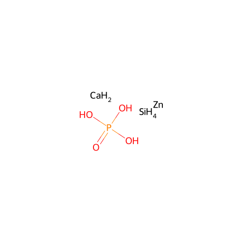 O=P(O)(O)O.[CaH2].[SiH4].[Zn]